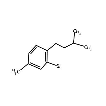 Cc1ccc(CCC(C)C)c(Br)c1